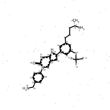 C[C@H](N)CCCc1cc(SC(F)(F)F)cc(-c2cc3cn(-c4ccc(CN)cc4)c(=O)nc3[nH]2)c1